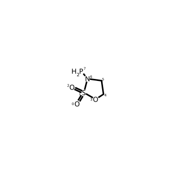 O=S1(=O)OCCN1P